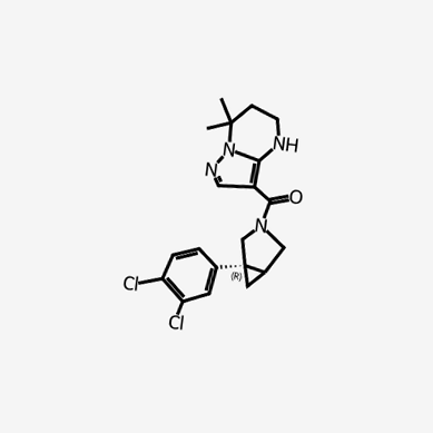 CC1(C)CCNc2c(C(=O)N3CC4C[C@@]4(c4ccc(Cl)c(Cl)c4)C3)cnn21